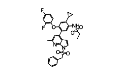 CCS(=O)(=O)Nc1cc(-c2cc(C)nc3c2ccn3S(=O)(=O)Cc2ccccc2)c(Oc2ccc(F)cc2F)cc1C1CC1